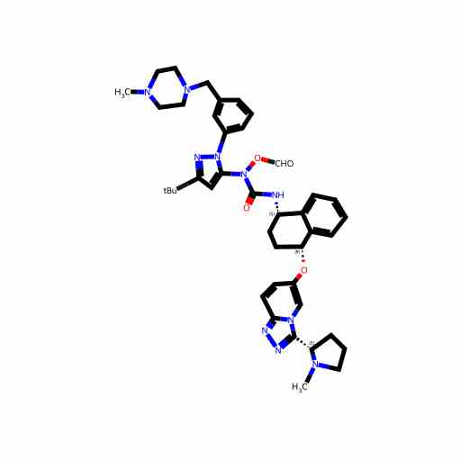 CN1CCN(Cc2cccc(-n3nc(C(C)(C)C)cc3N(OC=O)C(=O)N[C@H]3CC[C@@H](Oc4ccc5nnc([C@@H]6CCCN6C)n5c4)c4ccccc43)c2)CC1